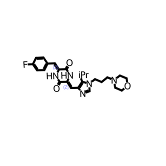 CC(C)c1c(/C=c2\[nH]c(=O)/c(=C/c3ccc(F)cc3)[nH]c2=O)ncn1CCCN1CCOCC1